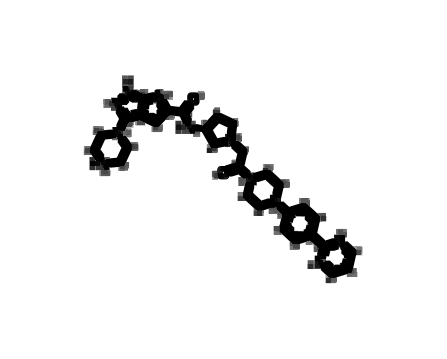 O=C(N[C@H]1CCN(CC(=O)N2CCN(c3ccc(-c4ncccn4)cc3)CC2)C1)c1cc2c(N3CCNCC3)n[nH]c2s1